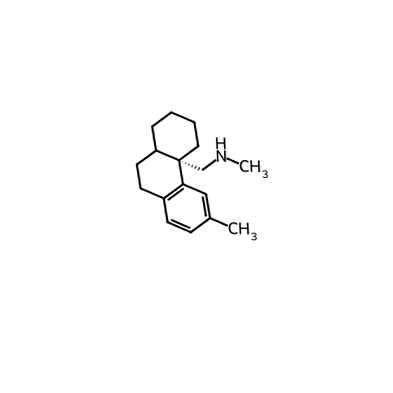 CNC[C@@]12CCCCC1CCc1ccc(C)cc12